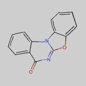 O=c1nc2oc3ccccc3n2c2ccccc12